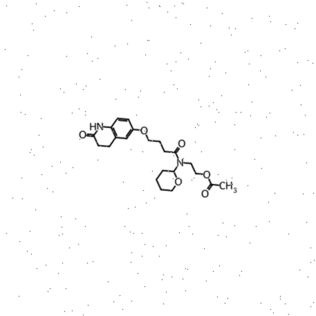 CC(=O)OCCN(C(=O)CCCOc1ccc2c(c1)CCC(=O)N2)C1CCCCO1